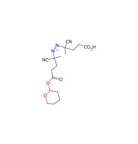 CC(C#N)(CCC(=O)O)/N=N\C(C)(C#N)CCC(=O)OC1CCCCO1